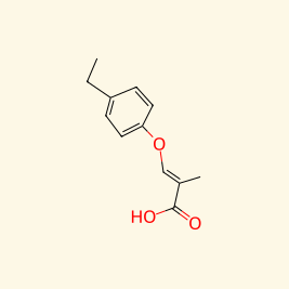 CCc1ccc(O/C=C(\C)C(=O)O)cc1